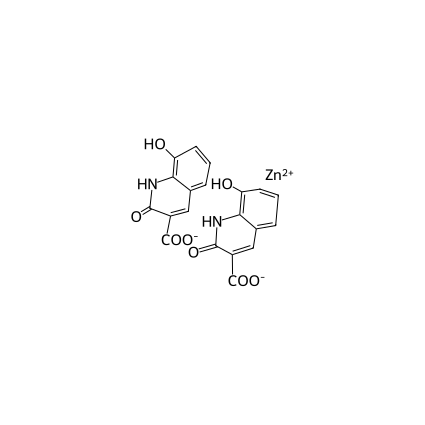 O=C([O-])c1cc2cccc(O)c2[nH]c1=O.O=C([O-])c1cc2cccc(O)c2[nH]c1=O.[Zn+2]